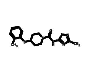 Cc1nsc(NC(=O)N2CCC(Sc3ccccc3C)CC2)n1